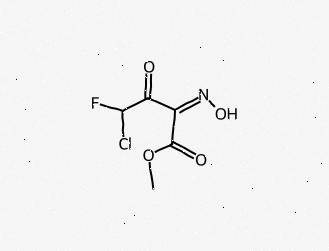 COC(=O)/C(=N\O)C(=O)C(F)Cl